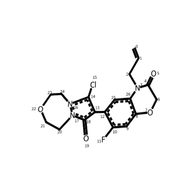 C=CCN1C(=O)COc2cc(F)c(-c3c(Cl)n4n(c3=O)CCOCC4)cc21